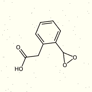 O=C(O)Cc1ccccc1C1OO1